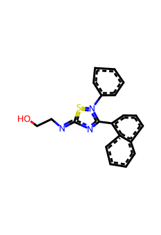 OCCN=c1nc(-c2cccc3ccccc23)n(-c2ccccc2)s1